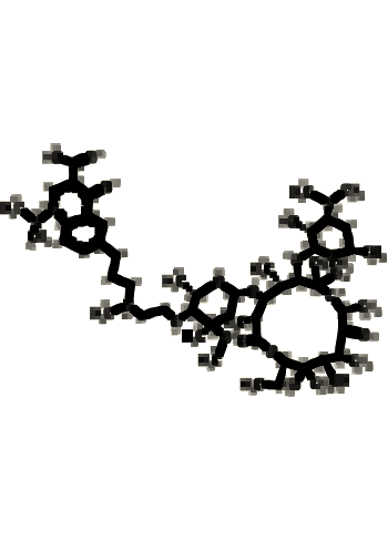 CC[C@H]1OC(=O)[C@H](C)[C@@H](O[C@H]2C[C@@](C)(OC)[C@@H](OCCN(C)CCCc3ccc4c(c3)c(=O)c(C(=O)O)cn4N(C)C)[C@H](C)O2)[C@H](C)[C@@H](O[C@@H]2O[C@H](C)C[C@H](N(C)C)[C@H]2O)[C@](C)(OC)C[C@@H](C)C(=O)[C@@H](C)[C@@H](O)[C@]1(C)O